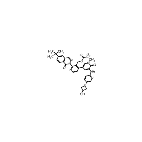 CC(=O)OCc1c(-c2cc(Nc3ccc(N4CC(O)C4)cn3)c(=O)n(C)c2)ccnc1-n1ncc2cc(C(C)(C)C)ccc2c1=O